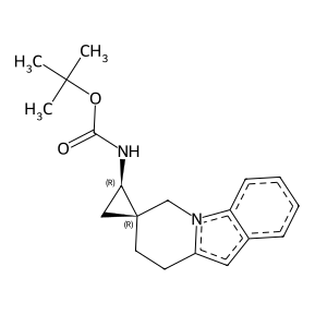 CC(C)(C)OC(=O)N[C@@H]1C[C@@]12CCc1cc3ccccc3n1C2